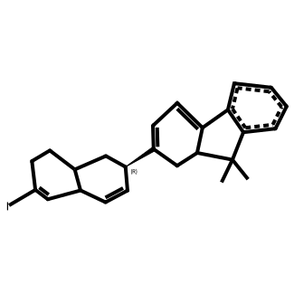 CC1(C)c2ccccc2C2=CC=C([C@H]3C=CC4C=C(I)CCC4C3)CC21